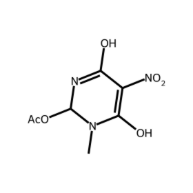 CC(=O)OC1N=C(O)C([N+](=O)[O-])=C(O)N1C